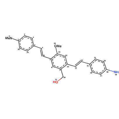 CNc1ccc(/C=C/c2cc(CO)c(/C=C/c3ccc(N)cc3)cc2OC)cc1